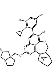 Oc1cc(Cl)c(C2CC2)c(-c2cc3nc(OC[C@@]45CCCN4C[C@H](F)C5)nc4c3c(c2Cl)OCC2C3CCC(CN42)N3)c1